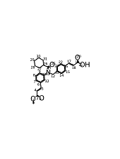 COC(=O)C=Cc1cccc(N(Cc2ccc(C=CC(=O)O)cc2)C(=O)C2CCCCC2)c1